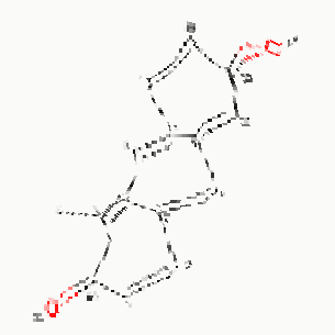 CC1=c2cc3c(cc2C=CC1=O)=CC(=O)C=C3